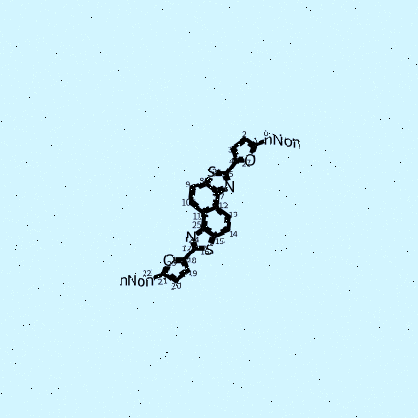 CCCCCCCCCc1ccc(-c2nc3c(ccc4c3ccc3sc(-c5ccc(CCCCCCCCC)o5)nc34)s2)o1